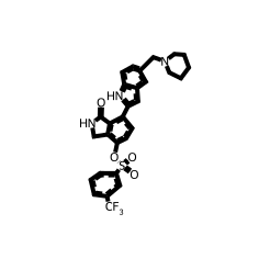 O=C1NCc2c(OS(=O)(=O)c3cccc(C(F)(F)F)c3)ccc(-c3cc4cc(CN5CCCCC5)ccc4[nH]3)c21